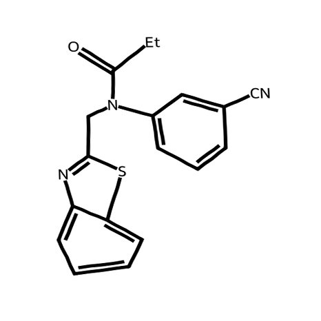 CCC(=O)N(Cc1nc2ccccc2s1)c1cccc(C#N)c1